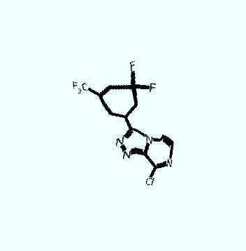 FC1(F)CC(c2nnc3c(Cl)nccn23)CC(C(F)(F)F)C1